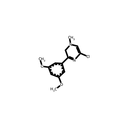 COc1cc(OC)cc(C2=NC(Cl)=CN(C)C2)c1